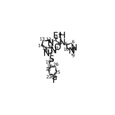 CCC(C(=O)Nc1cnn(C)c1)n1cccc2nc(SCc3ccc(F)cc3)nc1-2